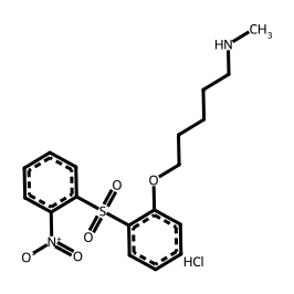 CNCCCCCOc1ccccc1S(=O)(=O)c1ccccc1[N+](=O)[O-].Cl